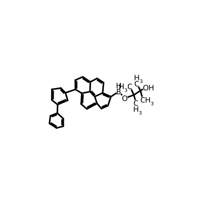 CC(C)(O)C(C)(C)OBc1ccc2ccc3c(-c4cccc(-c5ccccc5)c4)ccc4ccc1c2c43